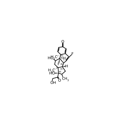 CC1C[C@H]2[C@@H]3C=C(F)C4=CC(=O)C=C[C@]4(C)[C@@]3(F)C(O)C[C@]2(C)[C@@]1(O)C(=O)CO